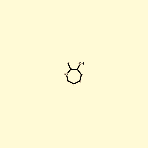 CC1OCCCCC1O